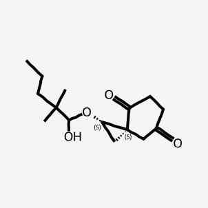 CCCC(C)(C)C(O)O[C@H]1C[C@]12CC(=O)CCC2=O